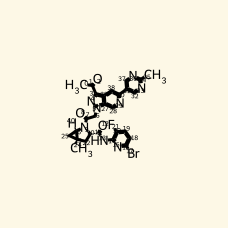 CC(=O)c1nn(CC(=O)N2[C@H](C(=O)Nc3nc(Br)ccc3F)C[C@]3(C)C[C@@H]23)c2cnc(-c3cnc(C)nc3)cc12